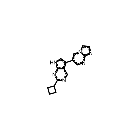 c1cn2cc(-c3c[nH]c4nc(C5CCC5)ncc34)cnc2n1